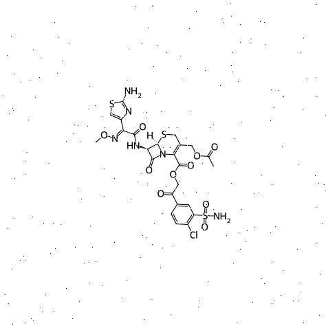 CON=C(C(=O)N[C@@H]1C(=O)N2C(C(=O)OCC(=O)c3ccc(Cl)c(S(N)(=O)=O)c3)=C(COC(C)=O)CS[C@H]12)c1csc(N)n1